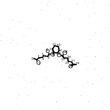 CC(=O)CCCCC(=O)OC1CCCCC1OC(=O)CCCCC(C)=O